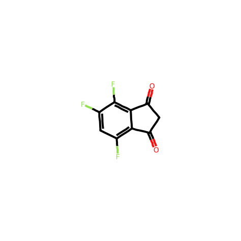 O=C1CC(=O)c2c(F)c(F)cc(F)c21